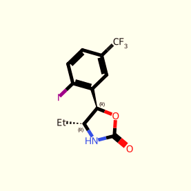 CC[C@H]1NC(=O)O[C@@H]1c1cc(C(F)(F)F)ccc1I